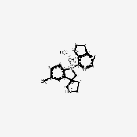 C[C@@H]1CCc2ncnc([N@@+]3(C)CC4(CCNC4)c4cc(Cl)ccc43)c21